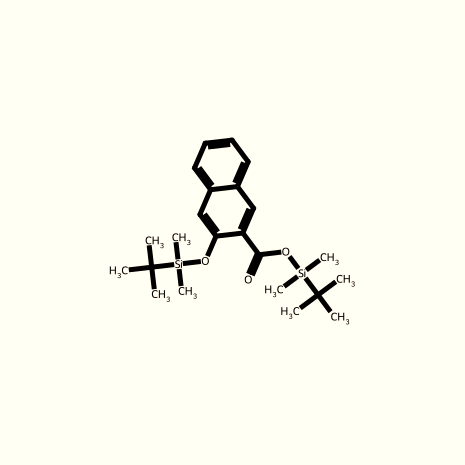 CC(C)(C)[Si](C)(C)OC(=O)c1cc2ccccc2cc1O[Si](C)(C)C(C)(C)C